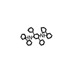 c1ccc(-c2ccccc2Nc2cc(-c3ccccc3)c(Nc3ccccc3-c3ccccc3)cc2-c2ccccc2)cc1